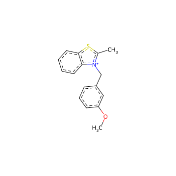 COc1cccc(C[n+]2c(C)sc3ccccc32)c1